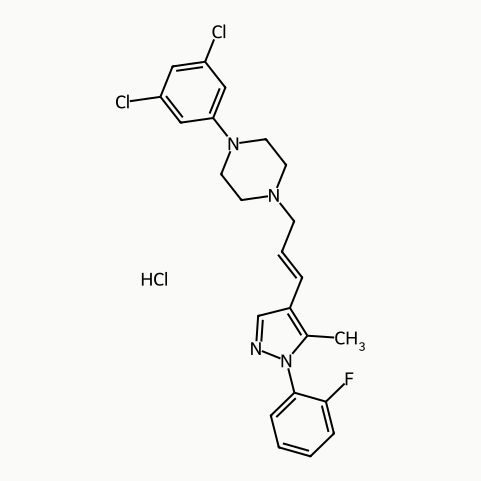 Cc1c(/C=C/CN2CCN(c3cc(Cl)cc(Cl)c3)CC2)cnn1-c1ccccc1F.Cl